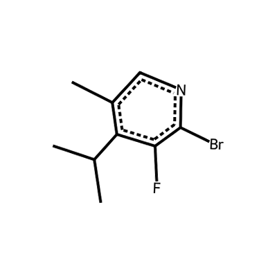 Cc1cnc(Br)c(F)c1C(C)C